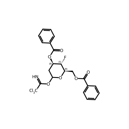 N=C(OC1C[C@@H](OC(=O)c2ccccc2)[C@H](F)[C@@H](COC(=O)c2ccccc2)O1)C(Cl)(Cl)Cl